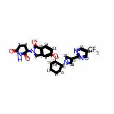 O=C1CCC(N2Cc3cc(O[C@H]4CCCC[C@H]4N4CC(c5ncc(C(F)(F)F)cn5)C4)ccc3C2=O)C(=O)N1